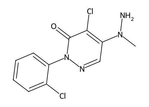 CN(N)c1cnn(-c2ccccc2Cl)c(=O)c1Cl